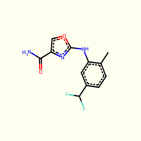 Cc1ccc(C(F)F)cc1Nc1nc(C(N)=O)co1